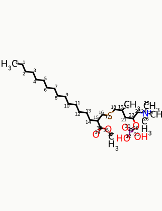 CCCCCCCCCCCCCCCC(CSCC(C)CC(C[N+](C)(C)C)OP(=O)(O)O)C(=O)OC